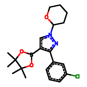 CC1(C)OB(c2cn(C3CCCCO3)nc2-c2cccc(Cl)c2)OC1(C)C